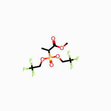 COC(=O)C(C)P(=O)(OCC(F)(F)F)OCC(F)(F)F